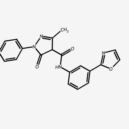 CC1=NN(c2ccccc2)C(=O)C1C(=O)Nc1cccc(-c2ncco2)c1